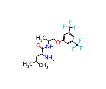 CC(C)CC(N)C(=O)NC(C)COc1cc(C(F)(F)F)cc(C(F)(F)F)c1